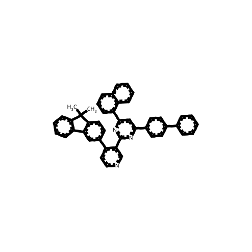 CC1(C)c2ccccc2-c2cc(-c3ccncc3-c3nc(-c4ccc(-c5ccccc5)cc4)cc(-c4cccc5ccccc45)n3)ccc21